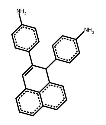 Nc1ccc(C2=Cc3cccc4cccc(c34)C2c2ccc(N)cc2)cc1